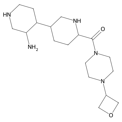 NC1CNCCC1C1CCC(C(=O)N2CCN(C3COC3)CC2)NC1